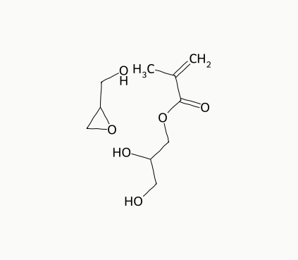 C=C(C)C(=O)OCC(O)CO.OCC1CO1